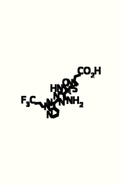 C[C@@]1(c2nc(CCC(=O)O)cs2)C(=O)Nc2nc(-c3nn(CCCC(F)(F)F)c4ncccc34)nc(N)c21